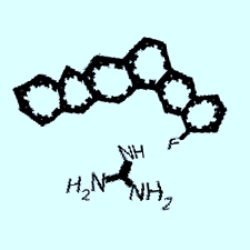 Fc1cccc2cc3ccc4cc5cc6ccccc6cc5cc4c3cc12.N=C(N)N